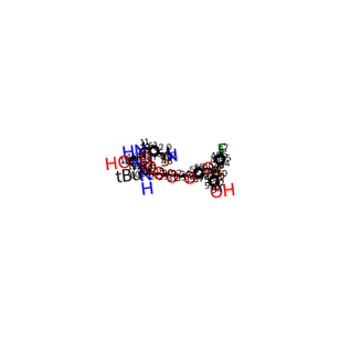 Cc1ncsc1-c1ccc([C@H](C)NC(=O)[C@@H]2C[C@@H](O)CN2C(=O)C(NC(=O)COCCOCCCOc2ccc(Oc3c(-c4ccc(F)cc4)sc4cc(O)ccc34)cc2)C(C)(C)C)cc1